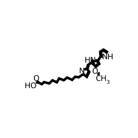 CCOc1cc(-c2ccc[nH]2)[nH]c1/C=C1\C=CC(CCCCCCCCCCCC(=O)O)=N1